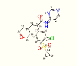 O=C(Nc1ccncn1)[C@H](CC1CCOCC1)c1ccc(S(=O)(=O)C2CC2)c(Cl)c1